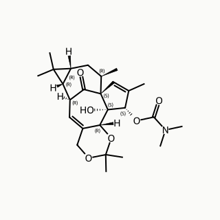 CC1=C[C@]23C(=O)[C@@H](C=C4COC(C)(C)O[C@H]4[C@]2(O)[C@H]1OC(=O)N(C)C)[C@H]1[C@@H](C[C@H]3C)C1(C)C